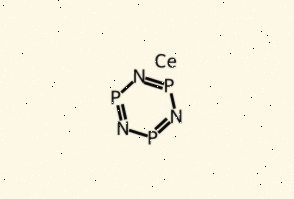 [Ce].n1pnpnp1